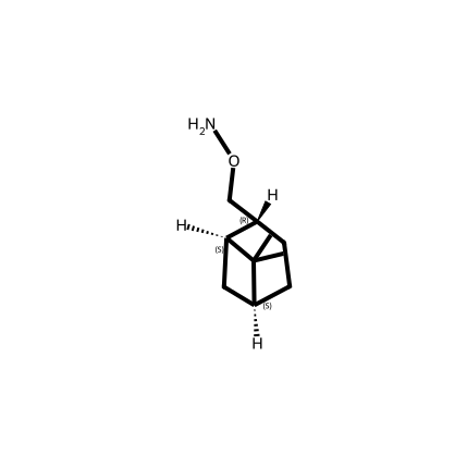 CC1(C)[C@H]2CC[C@@H](CON)[C@@H]1C2